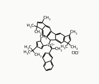 CC1=CC(C)(C)c2cc3c(cc21)-c1cc2c(cc1[CH]3/[Zr+2]([C]1=CC(C(C)(C)C)=CC1C)=[C](\C)c1ccc3ccccc3c1)C(C)(C)C=C2C.[Cl-].[Cl-]